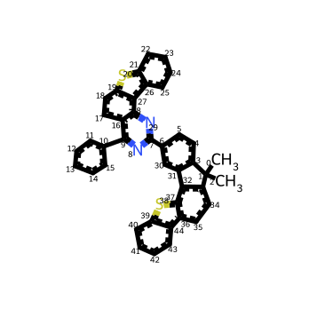 CC1(C)c2ccc(-c3nc(-c4ccccc4)c4ccc5sc6ccccc6c5c4n3)cc2-c2c1ccc1c2sc2ccccc21